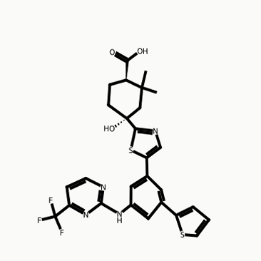 CC1(C)C[C@@](O)(c2ncc(-c3cc(Nc4nccc(C(F)(F)F)n4)cc(-c4cccs4)c3)s2)CC[C@H]1C(=O)O